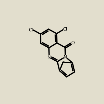 O=c1c2c(Cl)cc(Cl)cc2nc2n1C1=CC=C2C1